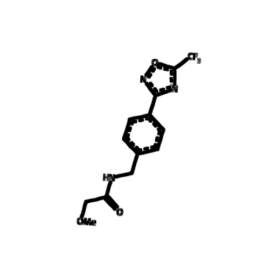 COCC(=O)NCc1ccc(-c2noc(C(F)(F)F)n2)cc1